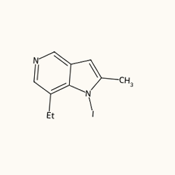 CCc1cncc2cc(C)n(I)c12